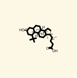 C[C@H](CCC(=O)O)[C@H]1CC[C@H]2[C@@H]3CCC4C[C@H](O)CC(C(C)(C)C)[C@]4(C)[C@H]3CC[C@]12C